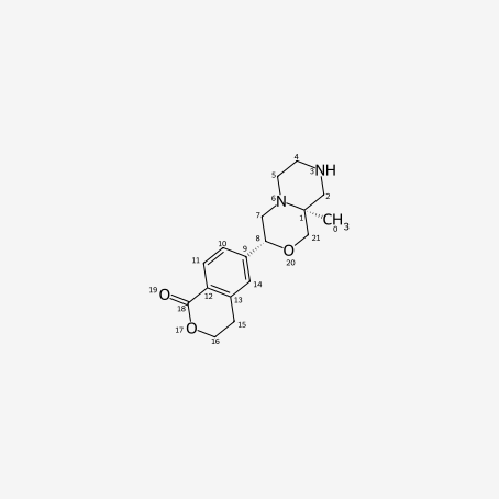 C[C@@]12CNCCN1C[C@@H](c1ccc3c(c1)CCOC3=O)OC2